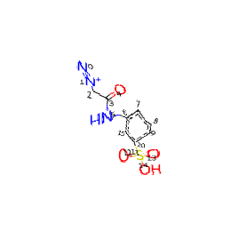 N#[N+]CC(=O)Nc1cccc(S(=O)(=O)O)c1